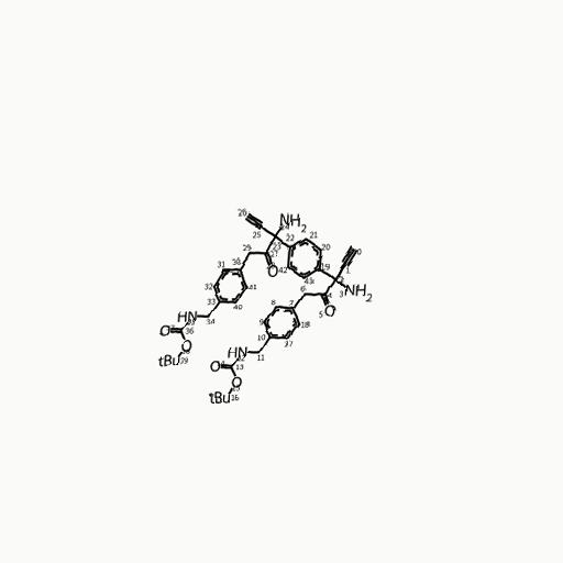 C#CC(N)(C(=O)Cc1ccc(CNC(=O)OC(C)(C)C)cc1)c1ccc(C(N)(C#C)C(=O)Cc2ccc(CNC(=O)OC(C)(C)C)cc2)cc1